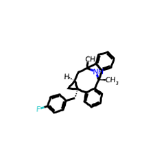 CC12C[C@@H]3C[C@]3(Cc3ccc(F)cc3)c3ccccc3[C@](C)(N1)c1ccccc12